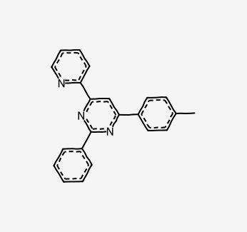 Cc1ccc(-c2cc(-c3ccccn3)nc(-c3ccccc3)n2)cc1